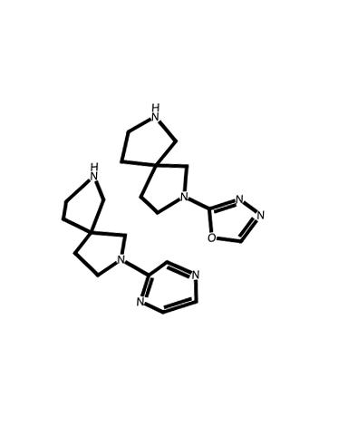 c1cnc(N2CCC3(CCNC3)C2)cn1.c1nnc(N2CCC3(CCNC3)C2)o1